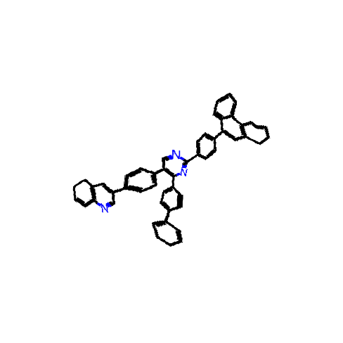 c1c(C2=CCCC=C2)ccc(-c2nc(-c3ccc(-c4cc5c(c6ccccc46)C=CCC5)cc3)ncc2-c2ccc(-c3cnc4c(c3)CCC=C4)cc2)c#1